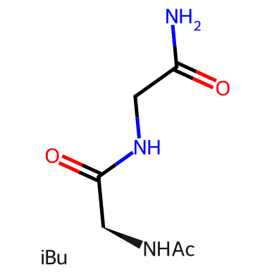 CC[C@H](C)[C@H](NC(C)=O)C(=O)NCC(N)=O